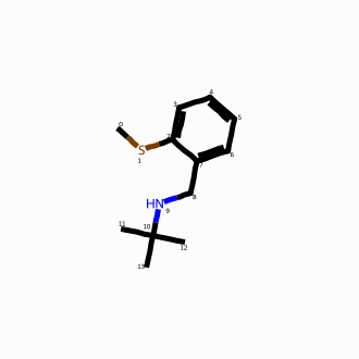 CSc1ccccc1CNC(C)(C)C